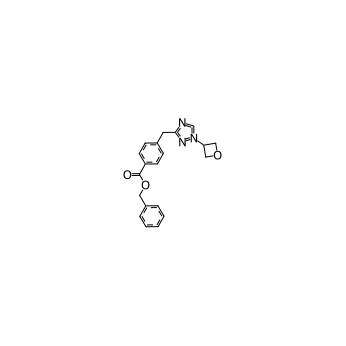 O=C(OCc1ccccc1)c1ccc(Cc2ncn(C3COC3)n2)cc1